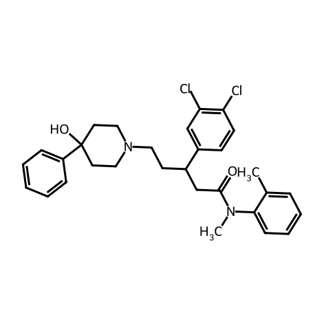 Cc1ccccc1N(C)C(=O)CC(CCN1CCC(O)(c2ccccc2)CC1)c1ccc(Cl)c(Cl)c1